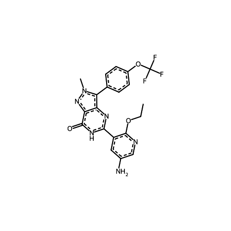 CCOc1ncc(N)cc1-c1nc2c(-c3ccc(OC(F)(F)F)cc3)n(C)nc2c(=O)[nH]1